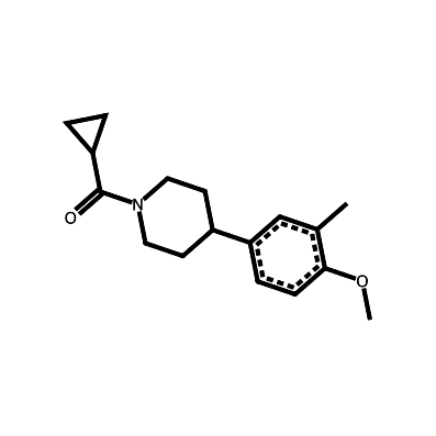 COc1ccc(C2CCN(C(=O)C3CC3)CC2)cc1C